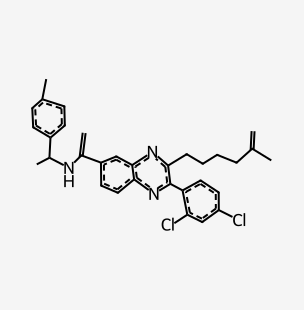 C=C(C)CCCCc1nc2cc(C(=C)NC(C)c3ccc(C)cc3)ccc2nc1-c1ccc(Cl)cc1Cl